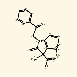 CC(=N)C(C)(C(=O)NCC(=O)c1ccccc1)c1ccccc1O